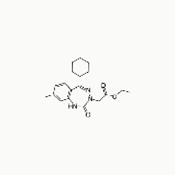 CCOC(=O)CN1N=C(C2CCCCC2)c2ccc(C)cc2NC1=O